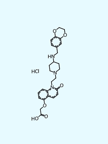 Cl.O=C(O)COc1cccc2c1ccc(=O)n2CCN1CCC(NCc2ccc3c(c2)OCCO3)CC1